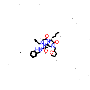 C#CCN1CC(=O)N2[C@@H](CCCC)C(=O)N(CC3CCCO3)C[C@@H]2N1C(=O)NCc1ccccc1